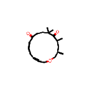 CC1COCC=CCCCC(=O)CCC(C)(C)C(=O)C(C)C1